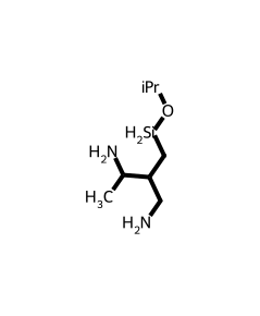 CC(C)O[SiH2]CC(CN)C(C)N